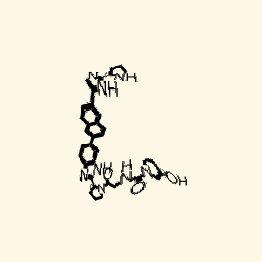 O=C(NCC(=O)N1CCC[C@H]1c1nc2ccc(-c3ccc4cc(-c5cnc([C@@H]6CCCN6)[nH]5)ccc4c3)cc2[nH]1)N1CC[C@H](O)C1